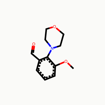 COc1cccc(C=O)c1N1CCOCC1